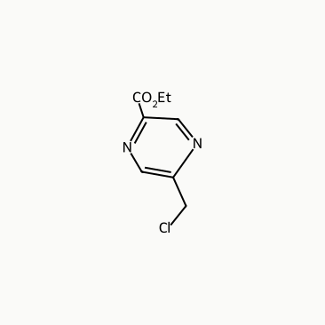 CCOC(=O)c1cnc(CCl)cn1